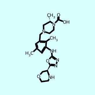 Cc1cc(CN2CCN(C(=O)O)[C@@H](C)C2)c(C)c(Nc2nnc([C@@H]3COCCN3)o2)c1